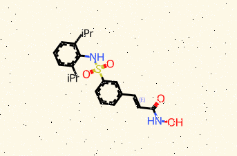 CC(C)c1cccc(C(C)C)c1NS(=O)(=O)c1cccc(/C=C/C(=O)NO)c1